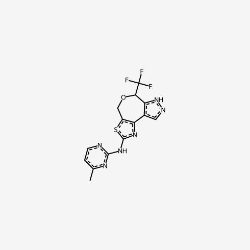 Cc1ccnc(Nc2nc3c(s2)COC(C(F)(F)F)c2[nH]ncc2-3)n1